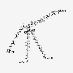 CCCCCCCCCCCCCCCCCCCCCCCCCCCC(=O)OCC(COC(=O)CCCCCCCCCCCCCCCCCCCCCCCCCCC)(COC(=O)CCCCCCCCCCCCCCCCCCCCCCCCCCC)COC(=O)CCCCCCCCCCCCCCCCCCCCCCCCCCC